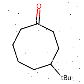 CC(C)(C)C1CCCCC(=O)CC1